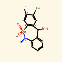 CN1c2ccccc2C(O)c2cc(F)c(I)cc2S1(=O)=O